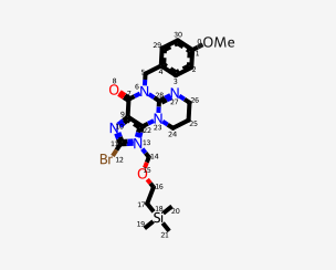 COc1ccc(CN2C(=O)c3nc(Br)n(COCC[Si](C)(C)C)c3N3CCCN=C23)cc1